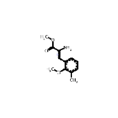 COC(=O)/C(N)=C/c1cccc(C)c1OC